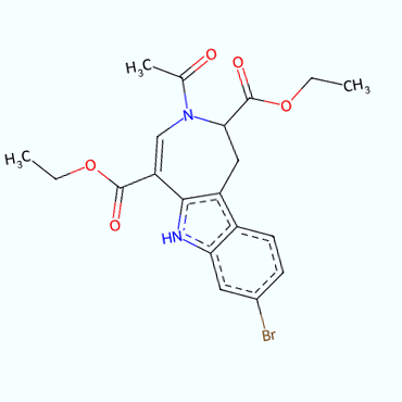 CCOC(=O)C1=CN(C(C)=O)C(C(=O)OCC)Cc2c1[nH]c1cc(Br)ccc21